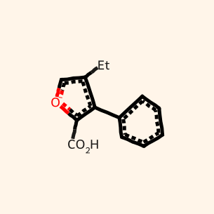 CCc1coc(C(=O)O)c1-c1ccccc1